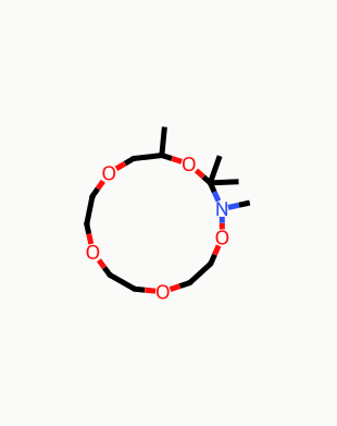 CC1COCCOCCOCCON(C)C(C)(C)O1